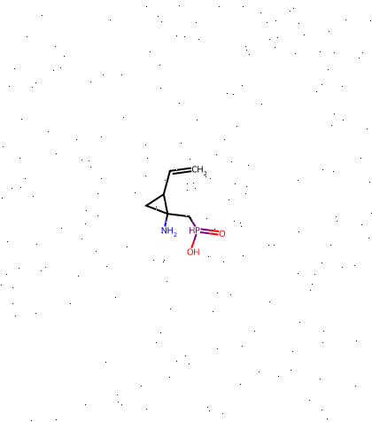 C=CC1CC1(N)C[PH](=O)O